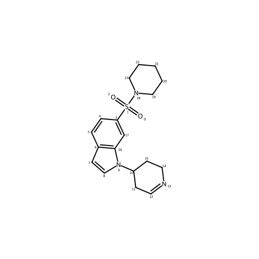 O=S(=O)(c1ccc2ccn(C3CC=NCC3)c2c1)N1CCCCC1